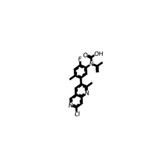 C=C(C)N(C(=O)O)c1cc(-c2cc3cnc(Cl)cc3nc2C)c(C)cc1F